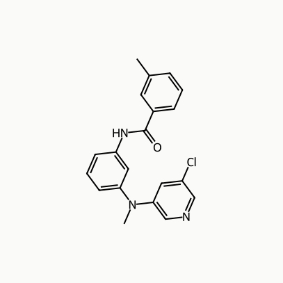 Cc1cccc(C(=O)Nc2cccc(N(C)c3cncc(Cl)c3)c2)c1